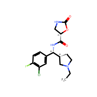 O=C1NC[C@@H](C(=O)N[C@@H](c2ccc(F)c(Cl)c2)[C@@H]2CCN(CC(F)(F)F)C2)O1